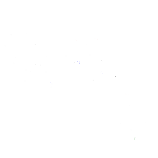 CCOC(=O)C1CN(CCOc2ccc(F)cc2)CCN1CCCC(C#N)(c1ccccc1)C(C)C